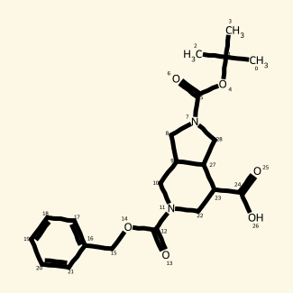 CC(C)(C)OC(=O)N1CC2CN(C(=O)OCc3ccccc3)CC(C(=O)O)C2C1